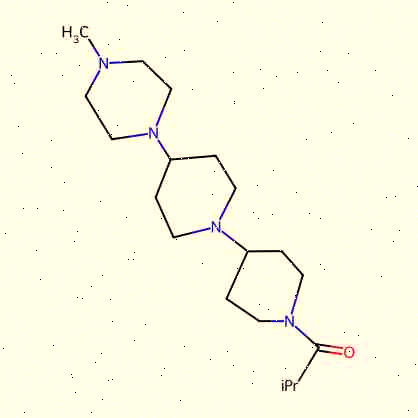 CC(C)C(=O)N1CCC(N2CCC(N3CCN(C)CC3)CC2)CC1